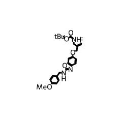 COc1ccc(CNc2nc3ccc(OCC(=CF)CNC(=O)OC(C)(C)C)cc3o2)cc1